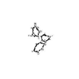 c1cncnc1.c1cnnnc1.c1nnn[nH]1